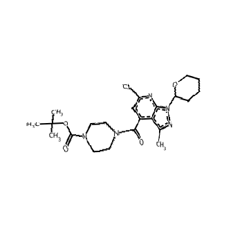 Cc1nn(C2CCCCO2)c2nc(Cl)cc(C(=O)N3CCN(C(=O)OC(C)(C)C)CC3)c12